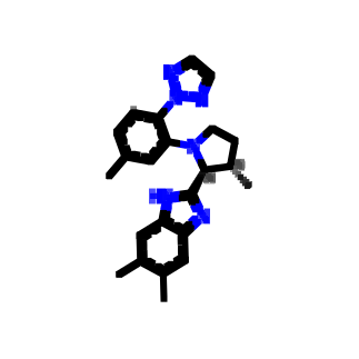 Cc1c[c]c(-n2nccn2)c(N2CC[C@H](C)[C@H]2c2nc3cc(C)c(C)cc3[nH]2)c1